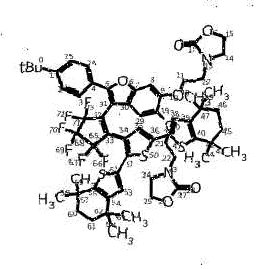 CC(C)(C)c1ccc(-c2oc3cc(OCCN4CCOC4=O)c(OCCN4CCOC4=O)cc3c2C2=C(c3cc(-c4cc5c(s4)C(C)(C)CCC5(C)C)sc3-c3cc4c(s3)C(C)(C)CCC4(C)C)C(F)(F)C(F)(F)C2(F)F)cc1